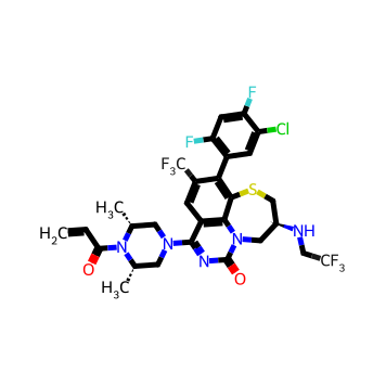 C=CC(=O)N1[C@H](C)CN(c2nc(=O)n3c4c(c(-c5cc(Cl)c(F)cc5F)c(C(F)(F)F)cc24)SC[C@@H](NCC(F)(F)F)C3)C[C@@H]1C